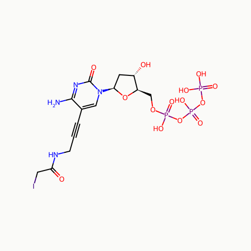 Nc1nc(=O)n([C@H]2C[C@H](O)[C@@H](COP(=O)(O)OP(=O)(O)OP(=O)(O)O)O2)cc1C#CCNC(=O)CI